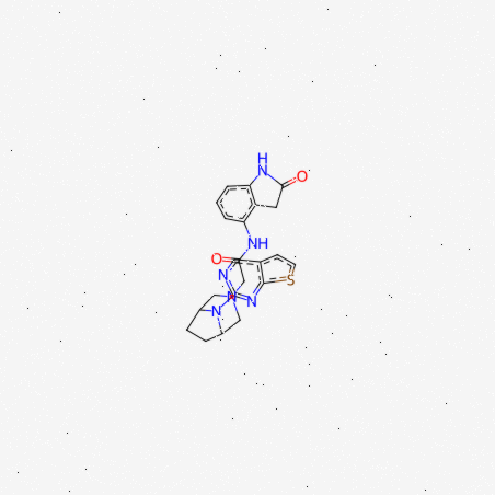 O=C1Cc2c(cccc2NC(=O)CN2CC3CCC(C2)N3c2ncc3ccsc3n2)N1